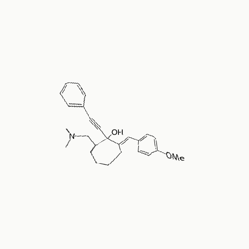 COc1ccc(/C=C2\CCCCC(CN(C)C)C2(O)C#Cc2ccccc2)cc1